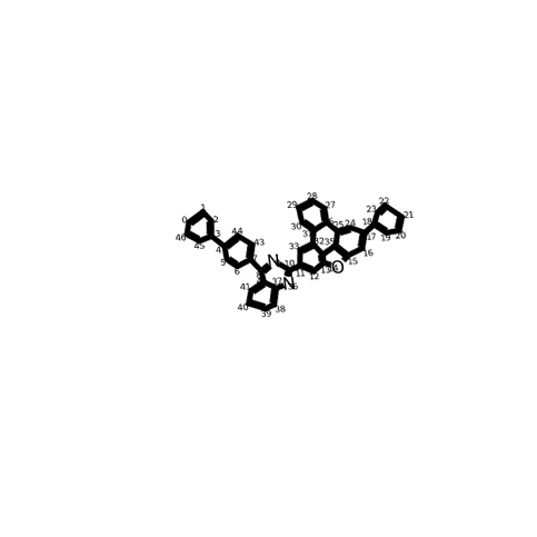 c1ccc(-c2ccc(-c3nc(-c4cc5oc6cc(-c7ccccc7)cc7c8ccccc8c(c4)c5c67)nc4ccccc34)cc2)cc1